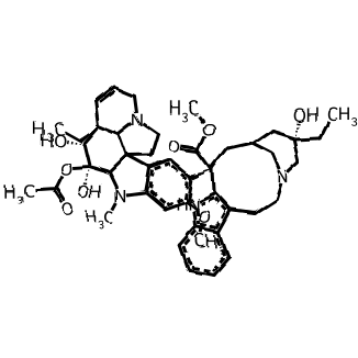 CC[C@]1(O)CC2CN(CCc3c([nH]c4ccccc34)[C@@](C(=O)OC)(c3cc4c(cc3OC)N(C)C3C45CCN4CC=C[C@](CC)(C45)[C@@H](O)[C@]3(O)OC(C)=O)C2)C1